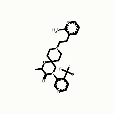 CC1OC2(CCN(CCc3cccnc3N)CC2)CN(c2cnccc2C(F)(F)F)C1=O